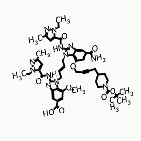 CCn1nc(C)cc1C(=O)Nc1nc2cc(C(=O)O)cc(OC)c2n1CC=CCn1c(NC(=O)c2cc(C)nn2CC)nc2cc(C(N)=O)cc(OCC#CCC3CCN(C(=O)OC(C)(C)C)CC3)c21